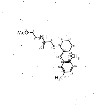 COCCNC(=O)CS[C@@H]1CCCC[C@H]1Sc1cc(C)ccc1C